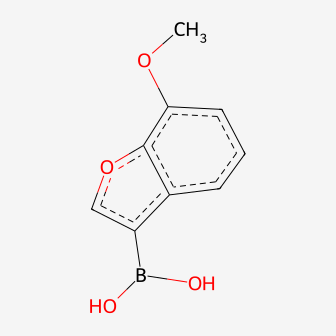 COc1cccc2c(B(O)O)coc12